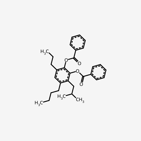 CCCCc1cc(CCC)c(OC(=O)c2ccccc2)c(OC(=O)c2ccccc2)c1CC(C)C